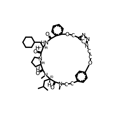 CC(C)C[C@H]1C(=O)N(C)CCc2ccc(cc2)OCCn2cc(nn2)COc2ccccc2C(=O)N[C@H](CC2CCCCC2)C(=O)N2CCC[C@@H]2C(=O)N1C